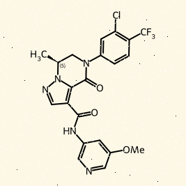 COc1cncc(NC(=O)c2cnn3c2C(=O)N(c2ccc(C(F)(F)F)c(Cl)c2)C[C@@H]3C)c1